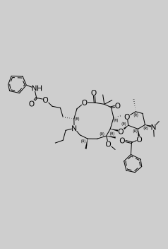 CCCN1C[C@H](C)C[C@@](C)(OC)[C@H](O[C@H]2O[C@H](C)C[C@@H](N(C)C)[C@H]2OC(=O)c2ccccc2)[C@@H](C)C(=O)C(C)(C)C(=O)OC[C@H]1CCCOC(=O)Nc1ccccc1